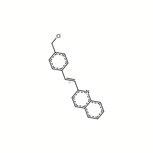 ClCc1ccc(/C=C/c2ccc3ccccc3n2)cc1